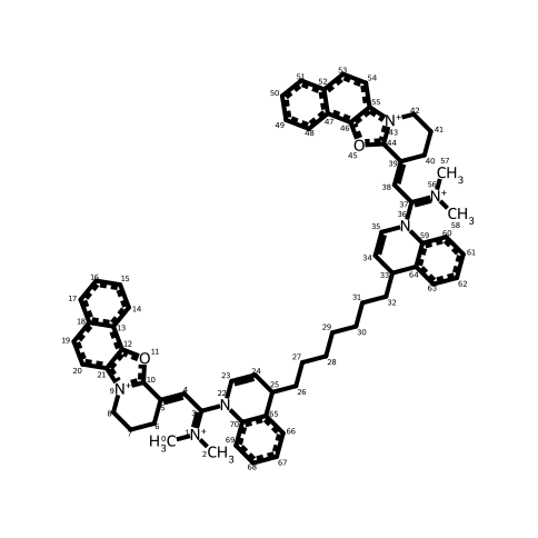 C[N+](C)=C(C=C1CCC[n+]2c1oc1c3ccccc3ccc12)N1C=CC(CCCCCCCC2C=CN(C(C=C3CCC[n+]4c3oc3c5ccccc5ccc34)=[N+](C)C)c3ccccc32)c2ccccc21